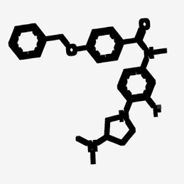 CN(C(=O)c1ccc(OCc2ccccc2)cc1)c1ccc(N2CCC(N(C)C)C2)c(F)c1